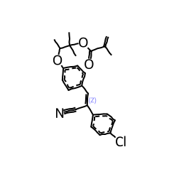 C=C(C)C(=O)OC(C)(C)C(C)Oc1ccc(/C=C(\C#N)c2ccc(Cl)cc2)cc1